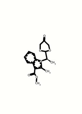 COC(=O)c1c(C)n([C@H](C)C2OCC(=O)CO2)c2ccccc12